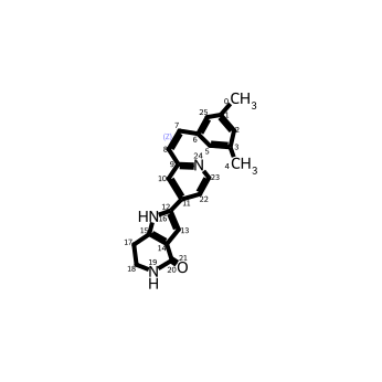 Cc1cc(C)cc(/C=C\c2cc(-c3cc4c([nH]3)CCNC4=O)ccn2)c1